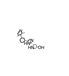 Cc1ncsc1-c1cccc(-c2cnc([C@@H]3C[C@@H](O)CN3)[nH]2)c1